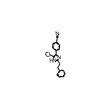 N#Cc1ccc(-c2nc(CCc3ccccc3)[nH]c2Cl)cc1